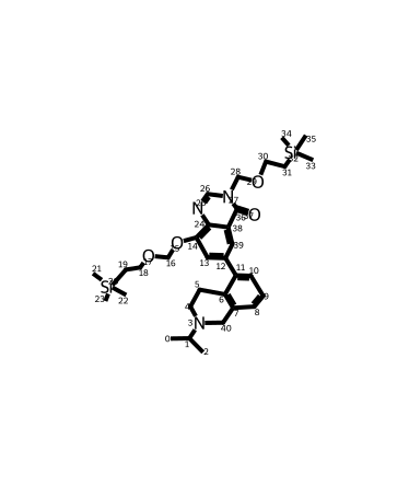 CC(C)N1CCc2c(cccc2-c2cc(OCOCC[Si](C)(C)C)c3ncn(COCC[Si](C)(C)C)c(=O)c3c2)C1